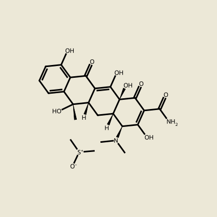 CN(C)[C@@H]1C(O)=C(C(N)=O)C(=O)[C@@]2(O)C(O)=C3C(=O)c4c(O)cccc4[C@@](C)(O)[C@H]3C[C@@H]12.C[S+](C)[O-]